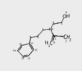 C=C(C)N(CCO)CCCc1ccccc1